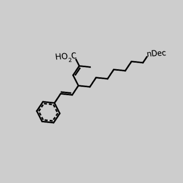 CCCCCCCCCCCCCCCCCC(C=Cc1ccccc1)C=C(C)C(=O)O